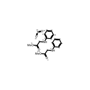 COC(=O)CNc1ccccc1.COC(=O)CNc1ccccc1.O=S=O